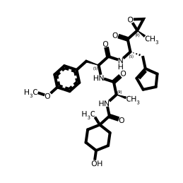 COc1ccc(C[C@H](NC(=O)[C@@H](C)NC(=O)C2(C)CCC(O)CC2)C(=O)N[C@@H](CC2=CCCC2)C(=O)[C@@]2(C)CO2)cc1